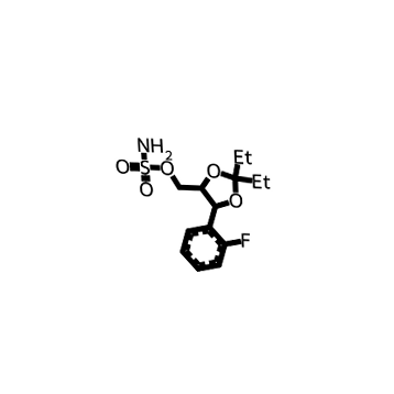 CCC1(CC)OC(COS(N)(=O)=O)C(c2ccccc2F)O1